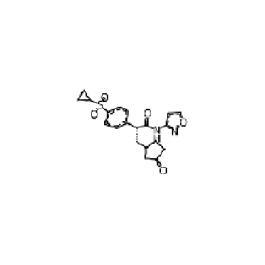 O=C1CCC(C[C@@H](C(=O)Nc2ccon2)c2ccc(S(=O)(=O)C3CC3)cc2)C1